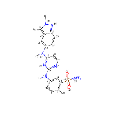 Cc1ccc(N(C)c2nccc(N(C)c3ccc4nn(C)c(C)c4c3)n2)cc1S(N)(=O)=O